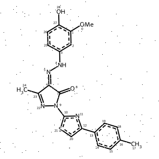 COc1cc(NN=C2C(=O)N(c3nc(-c4ccc(C)cc4)cs3)N=C2C)ccc1O